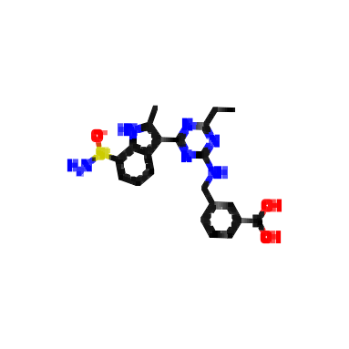 CCc1nc(NCc2cccc(B(O)O)c2)nc(-c2c(C)[nH]c3c([S+](N)[O-])cccc23)n1